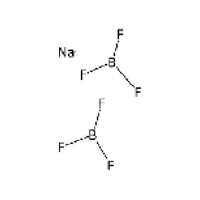 FB(F)F.FB(F)F.[Na]